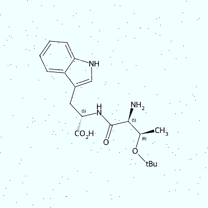 C[C@@H](OC(C)(C)C)[C@H](N)C(=O)N[C@@H](Cc1c[nH]c2ccccc12)C(=O)O